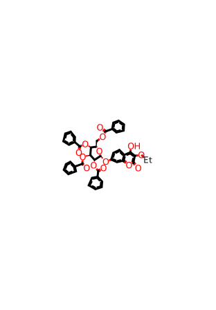 CCOc1c(O)c2ccc(O[C@@H]3O[C@H](COC(=O)c4ccccc4)[C@H](OC(=O)c4ccccc4)[C@H](OC(=O)c4ccccc4)[C@H]3OC(=O)c3ccccc3)cc2oc1=O